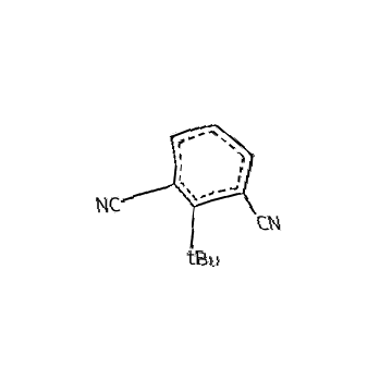 CC(C)(C)c1c(C#N)cccc1C#N